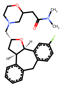 CN(C)C(=O)CC1CN(C[C@H]2C[C@@H]3c4ccccc4Cc4ccc(F)cc4[C@@H]3O2)CCO1